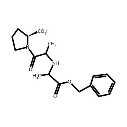 CC(NC(C)C(=O)N1CCC[C@H]1C(=O)O)C(=O)OCc1ccccc1